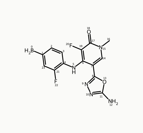 Bc1ccc(Nc2c(-c3nnc(N)o3)cn(C)c(=O)c2F)c(F)c1